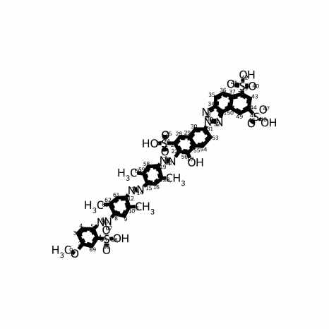 COc1ccc(N=Nc2cc(C)c(N=Nc3cc(C)c(N=Nc4c(S(=O)(=O)O)cc5cc(-n6nc7ccc8c(S(=O)(=O)O)cc(S(=O)(=O)O)cc8c7n6)ccc5c4O)cc3C)cc2C)c(S(=O)(=O)O)c1